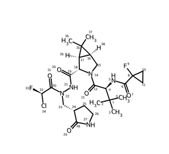 CC(C)(C)[C@H](NC(=O)C1(F)CC1)C(=O)N1C[C@H]2[C@@H]([C@H]1C(=O)NN(C[C@@H]1CCNC1=O)C(=O)[C@H](F)Cl)C2(C)C